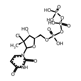 C[C@]1(Cl)C(n2ccc(=O)[nH]c2=O)O[C@H](COP(=O)(O)OP(=O)(O)OP(=O)(O)O)[C@H]1O